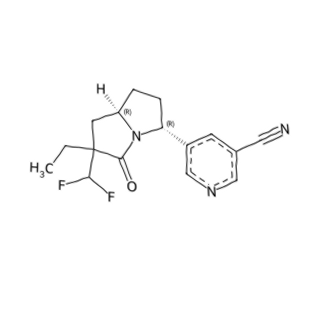 CCC1(C(F)F)C[C@H]2CC[C@H](c3cncc(C#N)c3)N2C1=O